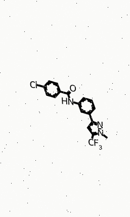 Cn1nc(-c2cccc(NC(=O)c3ccc(Cl)cc3)c2)cc1C(F)(F)F